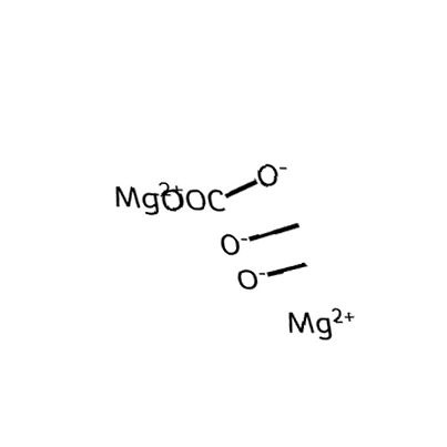 C[O-].C[O-].O=C([O-])[O-].[Mg+2].[Mg+2]